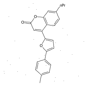 CCCc1ccc2c(-c3ccc(-c4ccc(C)cc4)o3)cc(=O)oc2c1